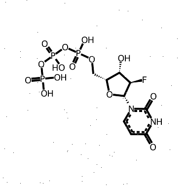 O=c1ccn([C@@H]2O[C@H](COP(=O)(O)OP(=O)(O)OP(=O)(O)O)[C@H](O)[C@H]2F)c(=O)[nH]1